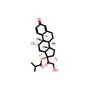 CC(C)C(=O)O[C@]1(C(=O)CO)[C@@H](C)C[C@H]2[C@@H]3CCC4=CC(=O)C=C[C@]4(C)[C@H]3[C@@H](Cl)C[C@@]21C